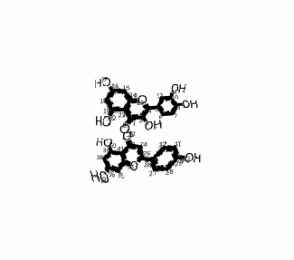 O=c1c(O)c(-c2ccc(O)c(O)c2)oc2cc(O)cc(O)c12.O=c1cc(-c2ccc(O)cc2)oc2cc(O)cc(O)c12